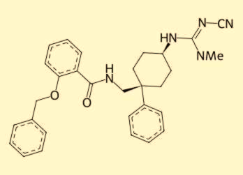 CN/C(=N\C#N)N[C@H]1CC[C@](CNC(=O)c2ccccc2OCc2ccccc2)(c2ccccc2)CC1